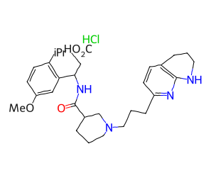 COc1ccc(C(C)C)c(C(CC(=O)O)NC(=O)C2CCCN(CCCc3ccc4c(n3)NCCC4)C2)c1.Cl